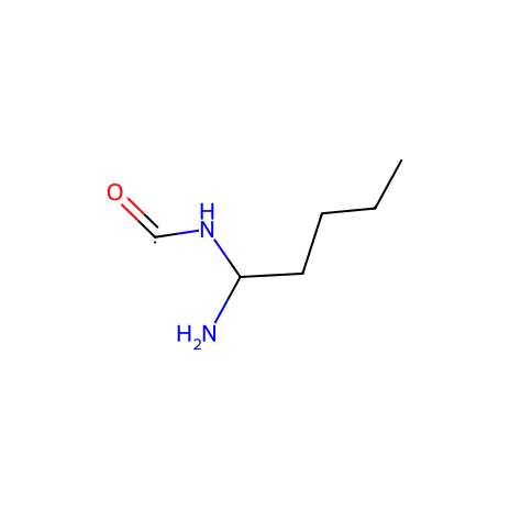 CCCCC(N)N[C]=O